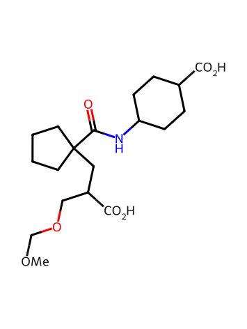 COCOCC(CC1(C(=O)NC2CCC(C(=O)O)CC2)CCCC1)C(=O)O